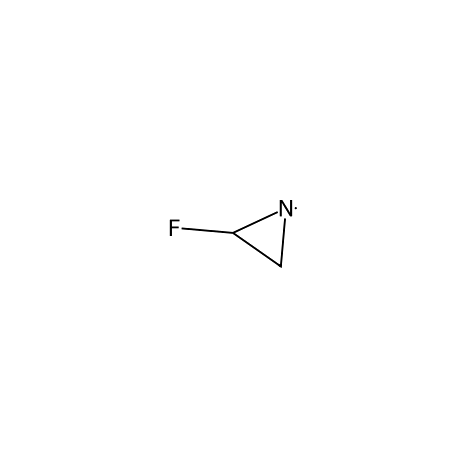 FC1C[N]1